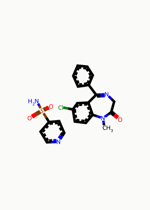 CN1C(=O)CN=C(c2ccccc2)c2cc(Cl)ccc21.NS(=O)(=O)c1ccncc1